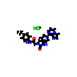 Cl.O=C(CN1CC2(CCN(c3nccn4ccnc34)CC2)NC1=O)Nc1ccc(C(F)(F)F)cc1